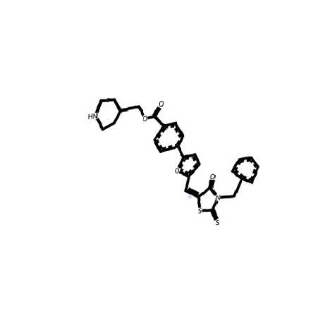 O=C(OCC1CCNCC1)c1ccc(-c2ccc(/C=C3/SC(=S)N(Cc4ccccc4)C3=O)o2)cc1